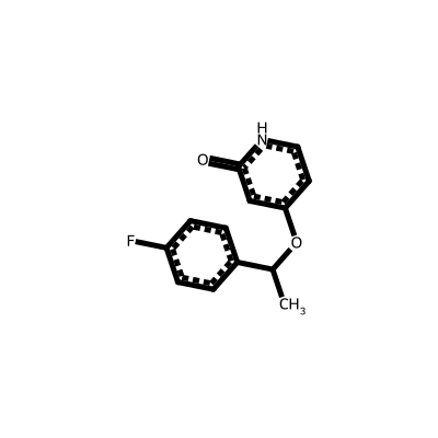 CC(Oc1cc[nH]c(=O)c1)c1ccc(F)cc1